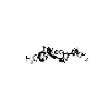 COc1cc(-c2cnn(C)c2)cn2ncc(C#Cc3cnc4cc(C)ccn34)c12